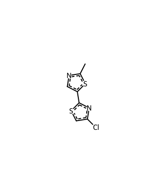 Cc1ncc(-c2nc(Cl)cs2)s1